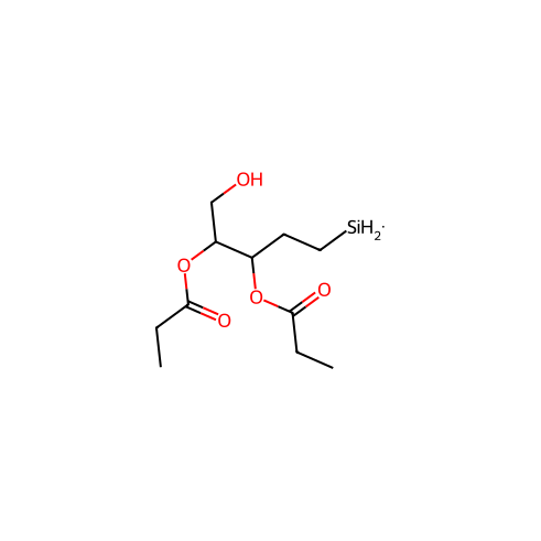 CCC(=O)OC(CO)C(CC[SiH2])OC(=O)CC